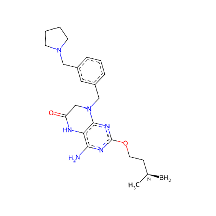 B[C@@H](C)CCOc1nc(N)c2c(n1)N(Cc1cccc(CN3CCCC3)c1)CC(=O)N2